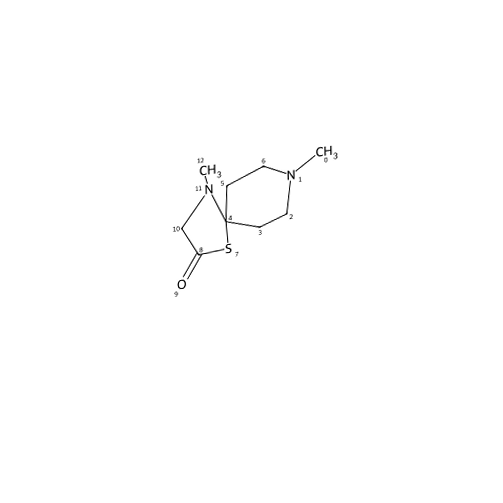 CN1CCC2(CC1)SC(=O)CN2C